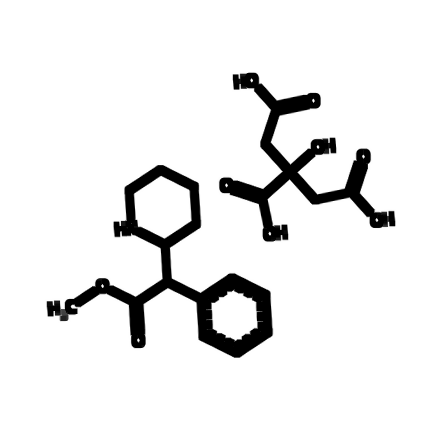 COC(=O)C(c1ccccc1)C1CCCCN1.O=C(O)CC(O)(CC(=O)O)C(=O)O